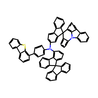 c1ccc2c(c1)-c1ccccc1C21c2ccccc2-c2c(N(c3ccc(-c4cccc5c4sc4ccccc45)cc3)c3ccc4c(c3)C3(c5ccccc5-4)c4ccccc4-n4c5ccccc5c5cccc3c54)cccc21